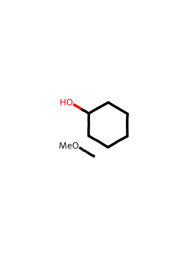 COC.OC1CCCCC1